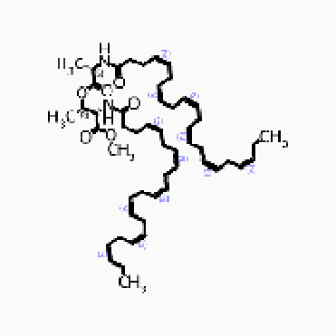 CC/C=C\C/C=C\C/C=C\C/C=C\C/C=C\C/C=C\CCC(=O)N[C@@H](C)C(=O)O[C@H](C)[C@H](NC(=O)CC/C=C\C/C=C\C/C=C\C/C=C\C/C=C\C/C=C\CC)C(=O)OC